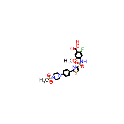 COc1cc(C(=O)O)c(F)cc1NS(=O)(=O)c1csc(-c2ccc(N3CCN(S(C)(=O)=O)CC3)cc2)n1